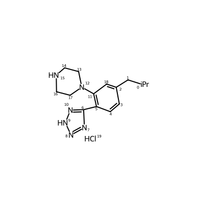 CC(C)Cc1ccc(-c2nn[nH]n2)c(N2CCNCC2)c1.Cl